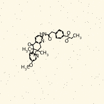 CCS(=O)(=O)c1ccc(CC(=O)Nc2ccc3c(n2)CC(C)(C)C(C)(c2ccc(OC)cn2)C3=O)cc1